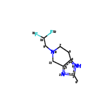 Cc1nc2c([nH]1)CCN(CC(F)F)C2